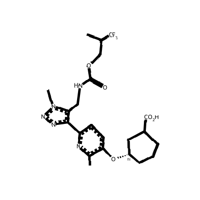 Cc1nc(-c2nnn(C)c2CNC(=O)OCC(C)C(F)(F)F)ccc1O[C@H]1CCCC(C(=O)O)C1